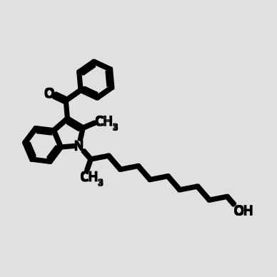 Cc1c(C(=O)c2ccccc2)c2ccccc2n1C(C)CCCCCCCCCO